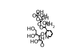 NC(=O)c1cccnc1.O=C[C@H](O)[C@H](O)[C@H](O)CO.O=P(O)(O)OP(=O)(O)O